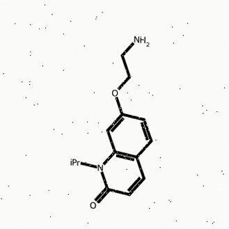 CC(C)n1c(=O)ccc2ccc(OCCN)cc21